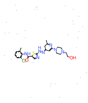 CC1=NC(N2CCN(CCO)CC2)=CC(=NNc2ncc(C(=O)Nc3c(C)cccc3Cl)s2)C1